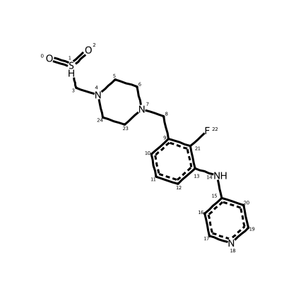 O=[SH](=O)CN1CCN(Cc2cccc(Nc3ccncc3)c2F)CC1